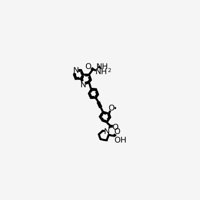 COc1cc(C(=O)N2CCCCC2C(=O)O)ccc1C#Cc1ccc(-c2cc(C(=O)NN)c3cnccc3n2)cc1